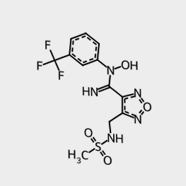 CS(=O)(=O)NCc1nonc1C(=N)N(O)c1cccc(C(F)(F)F)c1